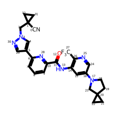 N#CC1(Cn2cc(-c3cccc(C(=O)Nc4cc(N5CCC6(CC6)C5)cnc4C(F)(F)F)n3)cn2)CC1